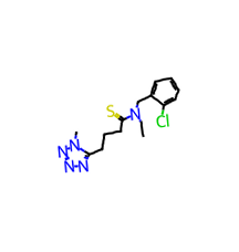 CCN(Cc1ccccc1Cl)C(=S)CCCc1nnnn1C